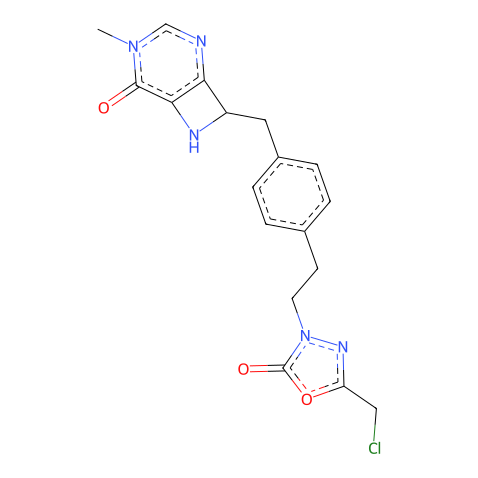 Cn1cnc2c(c1=O)NC2Cc1ccc(CCn2nc(CCl)oc2=O)cc1